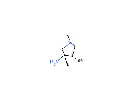 CC(C)[C@H]1CN(C)C[C@@]1(C)N